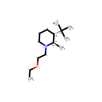 CCOCCN1CCC[C@H](C(C)(C)C)[C@H]1C